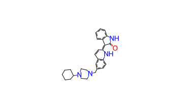 O=C1Nc2ccccc2/C1=C1\C=Cc2cc(CN3CCN(C4CCCCC4)CC3)ccc2N1